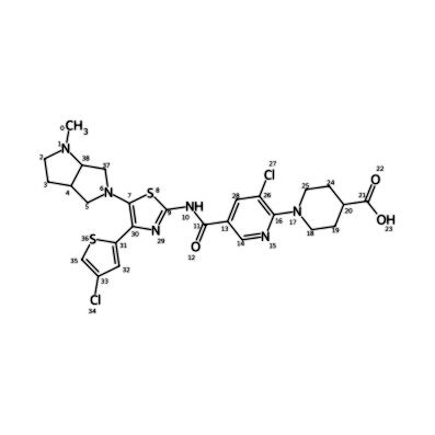 CN1CCC2CN(c3sc(NC(=O)c4cnc(N5CCC(C(=O)O)CC5)c(Cl)c4)nc3-c3cc(Cl)cs3)CC21